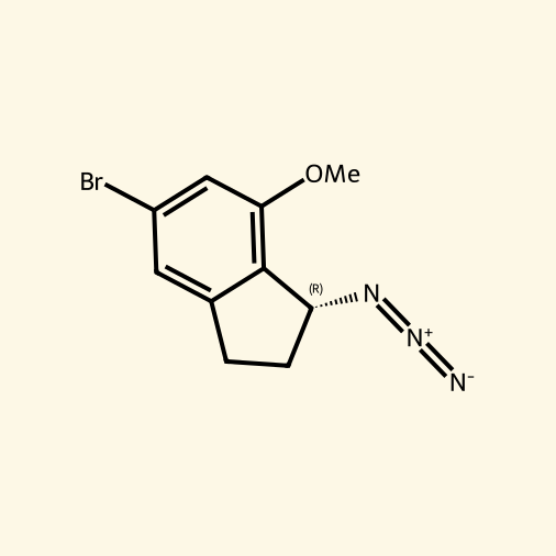 COc1cc(Br)cc2c1[C@H](N=[N+]=[N-])CC2